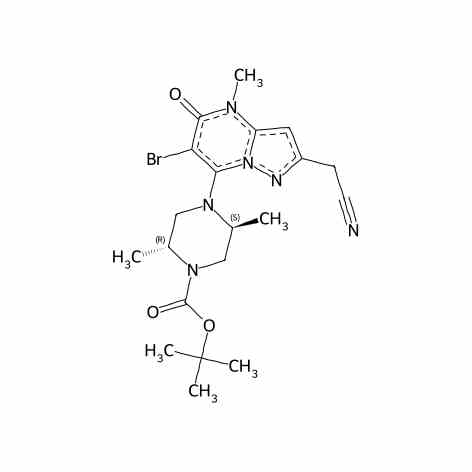 C[C@@H]1CN(c2c(Br)c(=O)n(C)c3cc(CC#N)nn23)[C@@H](C)CN1C(=O)OC(C)(C)C